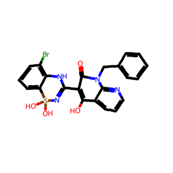 O=c1c(C2=NS(O)(O)c3cccc(Br)c3N2)c(O)c2cccnc2n1Cc1ccccc1